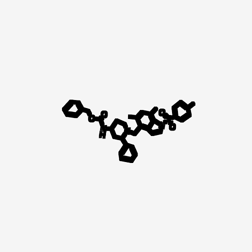 Cc1ccc(S(=O)(=O)n2ccc3c(CN4CCC(NC(=O)OCc5ccccc5)CC4c4ccccc4)c(C)cc(C)c32)cc1